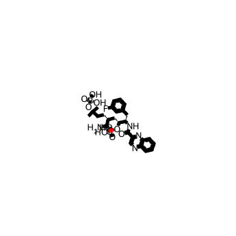 CC(C)(CC[C@H](C[C@@H](OP(=O)(O)O)[C@H](Cc1cccc(F)c1)NC(=O)c1cnc2ccccc2n1)C(N)=O)OP(=O)(O)O